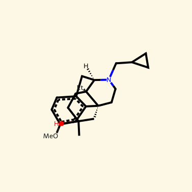 CC[C@@]12CCC(C)(O)C[C@@]13CCN(CC1CC1)[C@@H]2Cc1ccc(OC)cc13